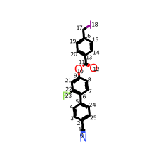 N#Cc1ccc(-c2ccc(OC(=O)c3ccc(CI)cc3)cc2F)cc1